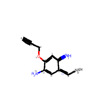 C#CCOC1=CC(=N)/C(=C\NC)C=C1N